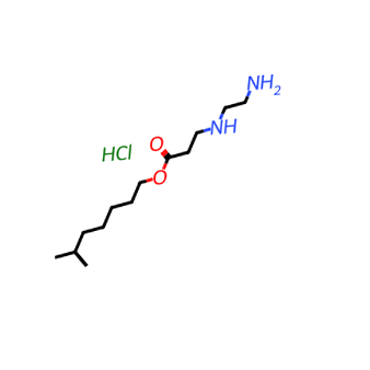 CC(C)CCCCCOC(=O)CCNCCN.Cl